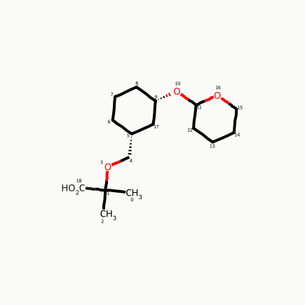 CC(C)(OC[C@@H]1CCC[C@H](OC2CCCCO2)C1)C(=O)O